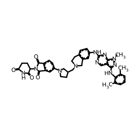 Cc1cccc(C)c1Nc1nn(C)c2nc(Nc3ccc4c(c3)CN(CC3CCN(c5ccc6c(c5)C(=O)N(C5CCC(=O)NC5=O)C6=O)C3)CC4)ncc12